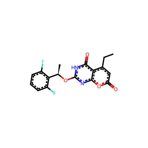 CCc1cc(=O)oc2nc(O[C@H](C)c3c(F)cccc3F)[nH]c(=O)c12